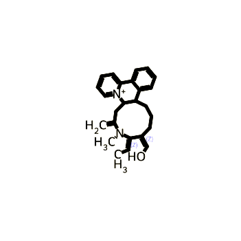 C=C1CC2C(CCCC(=C/O)/C(=C/C)N1C)c1ccccc1-c1cccc[n+]12